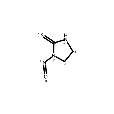 O=NN1CCNC1=S